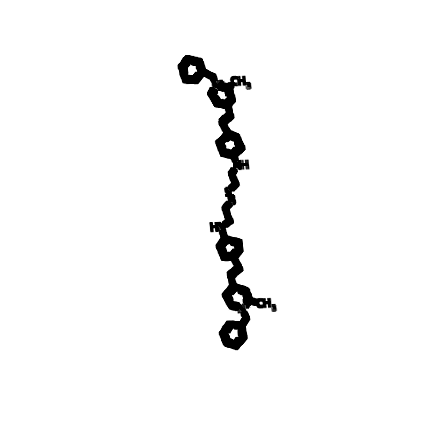 Cc1cc(/C=C/c2ccc(NCCSSCCNc3ccc(/C=C/c4cc[n+](Cc5ccccc5)c(C)c4)cc3)cc2)cc[n+]1Cc1ccccc1